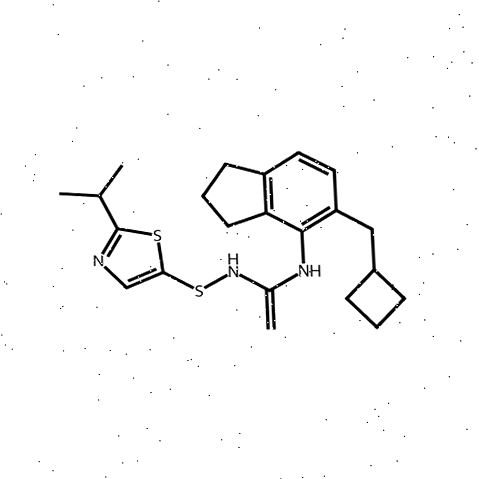 C=C(NSc1cnc(C(C)C)s1)Nc1c(CC2CCC2)ccc2c1CCC2